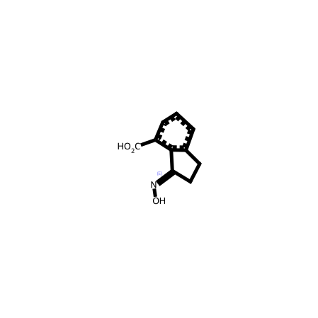 O=C(O)c1cccc2c1/C(=N/O)CC2